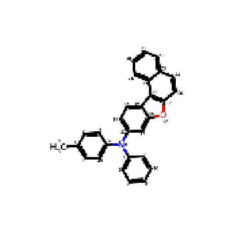 Cc1ccc(N(c2ccccc2)c2ccc3c(c2)oc2ccc4ccccc4c23)cc1